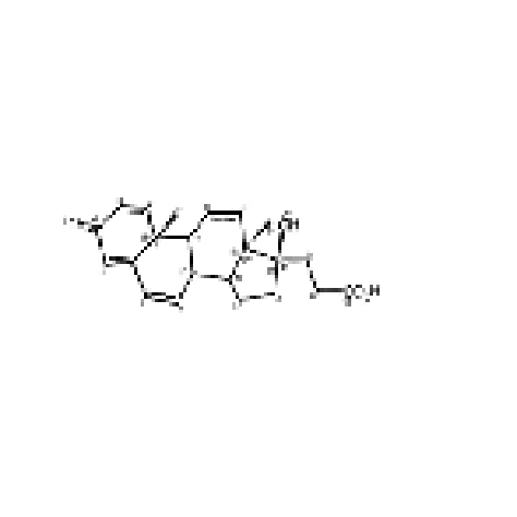 C[C@]12C=CC(=O)C=C1C=CC1C2C=C[C@@]2(C)C1CC[C@@]2(O)CCC(=O)O